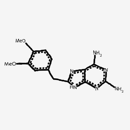 COc1ccc(Cc2nc3c(N)nc(N)nc3[nH]2)cc1OC